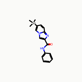 [CH3][Sn]([CH3])([CH3])[c]1ccc2nc(C(=O)Nc3ccccc3)cn2c1